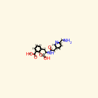 NCc1ccc(CC(=O)NC2Cc3cccc(C(=O)O)c3OB2O)cn1